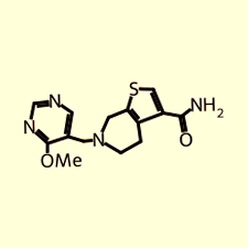 COc1ncncc1CN1CCc2c(C(N)=O)csc2C1